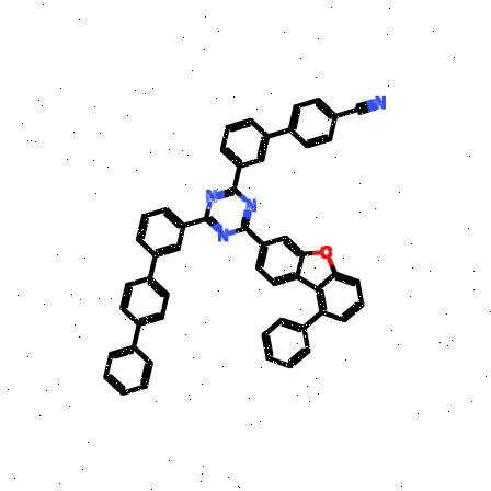 N#Cc1ccc(-c2cccc(-c3nc(-c4cccc(-c5ccc(-c6ccccc6)cc5)c4)nc(-c4ccc5c(c4)oc4cccc(-c6ccccc6)c45)n3)c2)cc1